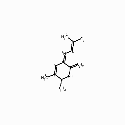 C=C1NC(C)C(C)=C/C1=N/C=C(\C)Cl